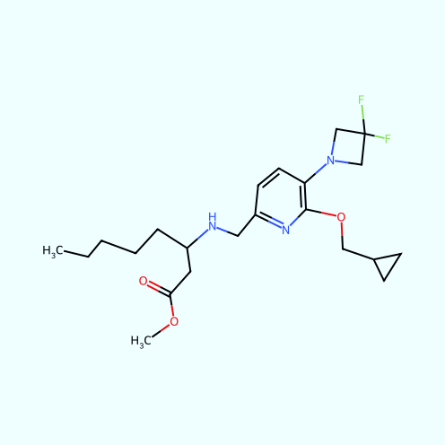 CCCCCC(CC(=O)OC)NCc1ccc(N2CC(F)(F)C2)c(OCC2CC2)n1